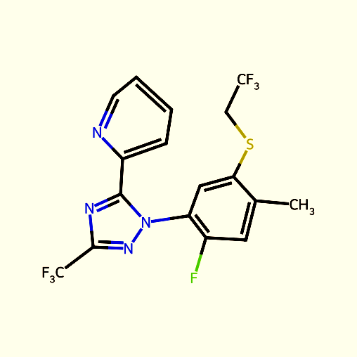 Cc1cc(F)c(-n2nc(C(F)(F)F)nc2-c2ccccn2)cc1SCC(F)(F)F